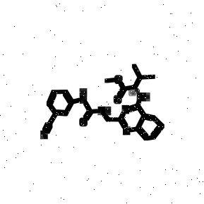 COC(=O)[C@@H](Nc1nc(CNC(=O)Nc2cccc(C#N)c2)nc2ccccc12)C(C)C